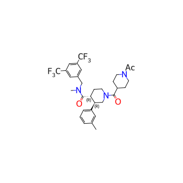 CC(=O)N1CCC(C(=O)N2CC[C@@H](C(=O)N(C)Cc3cc(C(F)(F)F)cc(C(F)(F)F)c3)[C@H](c3cccc(C)c3)C2)CC1